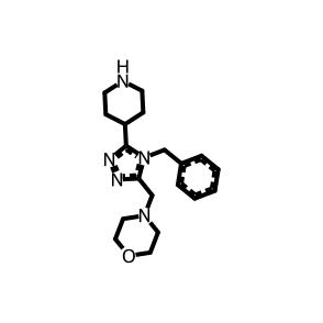 c1ccc(Cn2c(CN3CCOCC3)nnc2C2CCNCC2)cc1